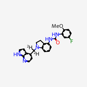 [2H]C([2H])(c1ccnc2[nH]ccc12)N1CCc2c(NC(=O)Nc3cc(F)ccc3OC)cccc21